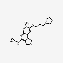 Cc1cc2nc(NC3CC3)c3c(c2cc1OCCCN1CCCC1)COC3